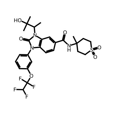 CC(n1c(=O)n(-c2cccc(OC(F)(F)C(F)F)c2)c2ccc(C(=O)NC3(C)CCS(=O)(=O)CC3)cc21)C(C)(C)O